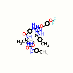 Cc1ccc(NC(=O)C(=O)NCC(C)(C)CNC(=O)c2ccc(Nc3nc(NC4(c5ccc(C)cc5)CC4)nc(OCc4ccc(OC(F)F)cc4)n3)cc2)cc1